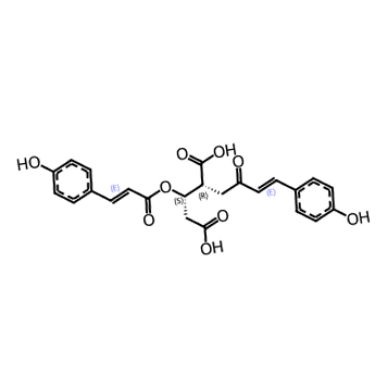 O=C(O)C[C@H](OC(=O)/C=C/c1ccc(O)cc1)[C@@H](CC(=O)/C=C/c1ccc(O)cc1)C(=O)O